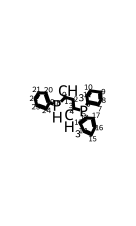 C[C@@H](C[C@H](C)P(c1ccccc1)c1ccccc1)Pc1ccccc1